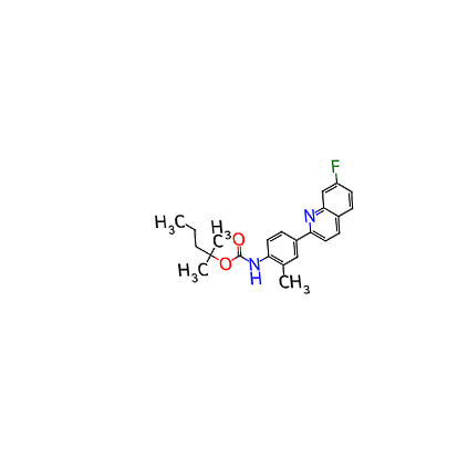 CCCC(C)(C)OC(=O)Nc1ccc(-c2ccc3ccc(F)cc3n2)cc1C